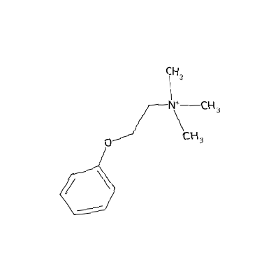 C[N+](C)(C)CCOc1ccccc1